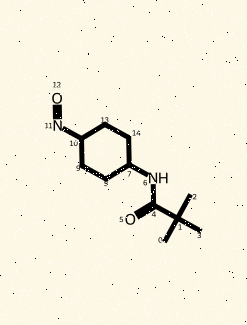 CC(C)(C)C(=O)NC1CCC(N=O)CC1